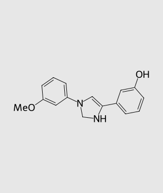 COc1cccc(N2C=C(c3cccc(O)c3)NC2)c1